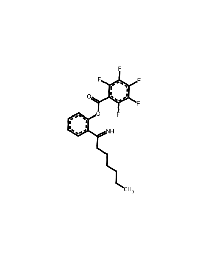 CCCCCCC(=N)c1ccccc1OC(=O)c1c(F)c(F)c(F)c(F)c1F